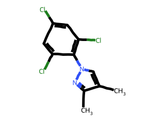 Cc1cn(-c2c(Cl)cc(Cl)cc2Cl)nc1C